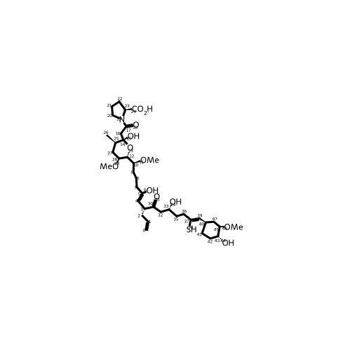 C=CC[C@H](/C=C(\O)CCC[C@H](OC)[C@H]1O[C@@](O)(CC(=O)N2CCC[C@H]2C(=O)O)[C@H](C)C[C@@H]1OC)C(=O)C[C@H](O)CC/C(S)=C/[C@@H]1CC[C@@H](O)[C@H](OC)C1